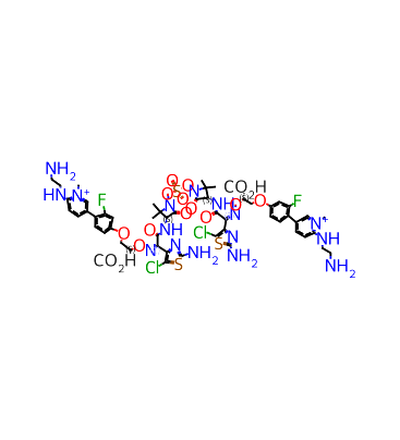 C[n+]1cc(-c2ccc(OC[C@H](O/N=C(\C(=O)N[C@@H]3C(=O)N(OS(=O)(=O)ON4C(=O)[C@@H](NC(=O)/C(=N\O[C@@H](COc5ccc(-c6ccc(NCCN)[n+](C)c6)c(F)c5)C(=O)O)c5nc(N)sc5Cl)C4(C)C)C3(C)C)c3nc(N)sc3Cl)C(=O)O)cc2F)ccc1NCCN